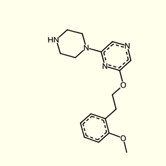 COc1ccccc1CCOc1cncc(N2CCNCC2)n1